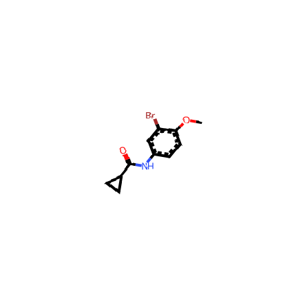 COc1ccc(NC(=O)C2CC2)cc1Br